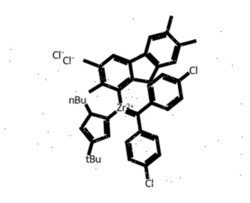 CCCCC1C=C(C(C)(C)C)C=[C]1[Zr+2](=[C](c1ccc(Cl)cc1)c1ccc(Cl)cc1)[c]1c(C)c(C)cc2c1Cc1cc(C)c(C)cc1-2.[Cl-].[Cl-]